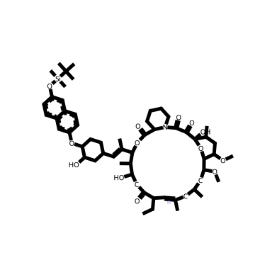 CCC1/C=C(\C)CC(C)CC(OC)C2OC(O)(C(=O)C(=O)N3CCCCC3C(=O)OC(C(C)=CC3CCC(Oc4ccc5cc(O[Si](C)(C)C(C)(C)C)ccc5c4)C(O)C3)C(C)C(O)CC1=O)C(C)CC2OC